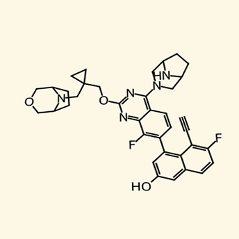 C#Cc1c(F)ccc2cc(O)cc(-c3ccc4c(N5CC6CCC(C5)N6)nc(OCC5(CN6C7CCC6COC7)CC5)nc4c3F)c12